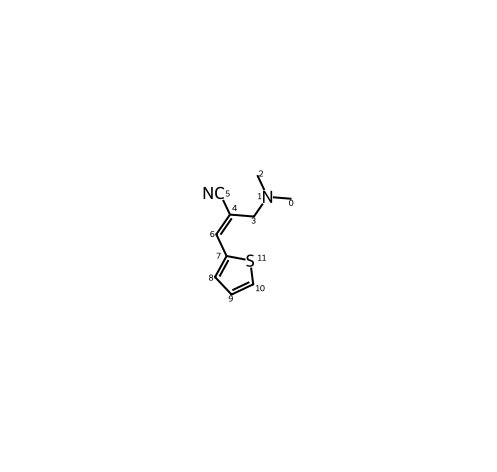 CN(C)CC(C#N)=Cc1cccs1